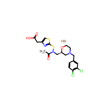 Br.CC(=O)N(C[C@@H]1CN(Cc2ccc(Cl)c(Cl)c2)CCO1)Sc1nc(CC(=O)O)cs1